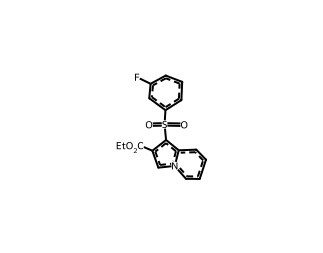 CCOC(=O)c1cn2ccccc2c1S(=O)(=O)c1cccc(F)c1